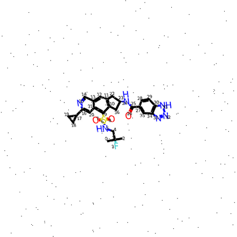 CC(C)(F)CNS(=O)(=O)c1c2c(cc3cnc(C4CC4)cc13)C[C@@H](NC(=O)c1ccc3[nH]nnc3c1)C2